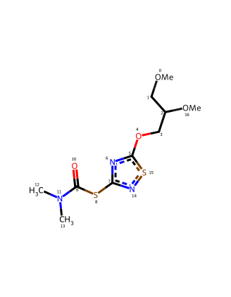 COCC(COc1nc(SC(=O)N(C)C)ns1)OC